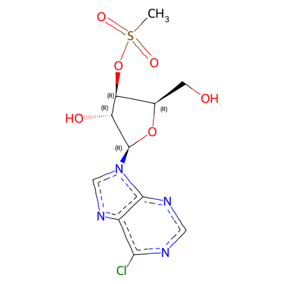 CS(=O)(=O)O[C@@H]1[C@@H](O)[C@H](n2cnc3c(Cl)ncnc32)O[C@@H]1CO